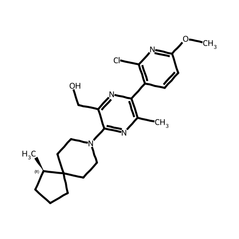 COc1ccc(-c2nc(CO)c(N3CCC4(CCC[C@H]4C)CC3)nc2C)c(Cl)n1